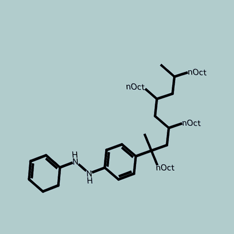 CCCCCCCCC(C)CC(CCCCCCCC)CC(CCCCCCCC)CC(C)(CCCCCCCC)c1ccc(NNC2=CC=CCC2)cc1